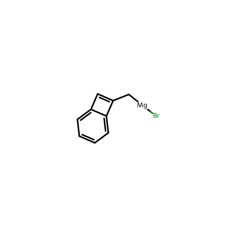 [Br][Mg][CH2]C1=Cc2ccccc21